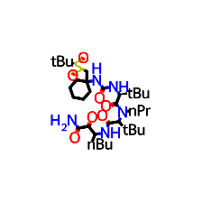 CCCCC(NC(=O)C(N(CCC)C(=O)[C@@H](NC(=O)NC1(CS(=O)(=O)C(C)(C)C)CCCCC1)C(C)(C)C)C(C)(C)C)C(=O)C(N)=O